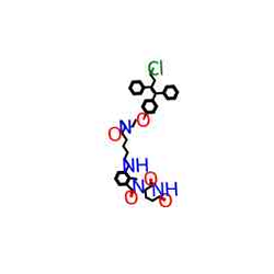 CN(CCOc1ccc(C(=C(CCCl)c2ccccc2)c2ccccc2)cc1)C(=O)CCCCNc1cccc2c1CN(C1CCC(=O)NC1=O)C2=O